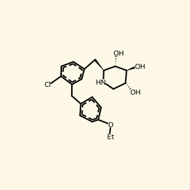 CCOc1ccc(Cc2cc(C[C@@H]3NC[C@@H](O)[C@H](O)[C@H]3O)ccc2Cl)cc1